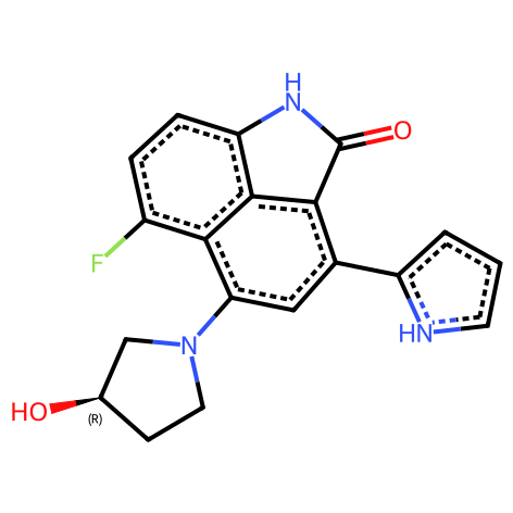 O=C1Nc2ccc(F)c3c(N4CC[C@@H](O)C4)cc(-c4ccc[nH]4)c1c23